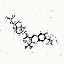 CC(C)(C)c1cc2c(cc1Cl)C=C(C(=O)O[C@H]1CO[C@H]3[C@@H]1OC[C@H]3O[N+](=O)[O-])C(C(F)(F)F)O2